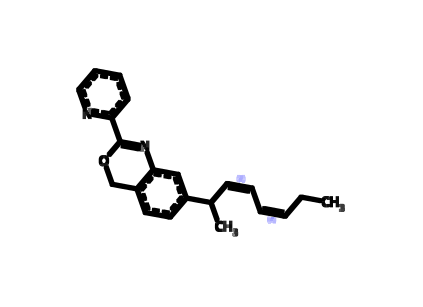 CC/C=C\C=C/C(C)c1ccc2c(c1)N=C(c1ccccn1)OC2